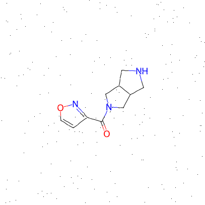 O=C(c1ccon1)N1CC2CNCC2C1